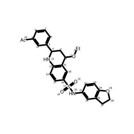 CCOC1CC(c2cccc(C(C)=O)c2)Nc2ccc(S(=O)(=O)Nc3ccc4c(c3)CCO4)cc21